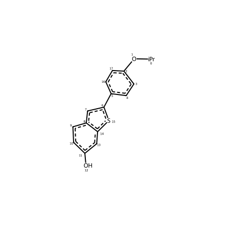 CC(C)Oc1ccc(-c2cc3ccc(O)cc3s2)cc1